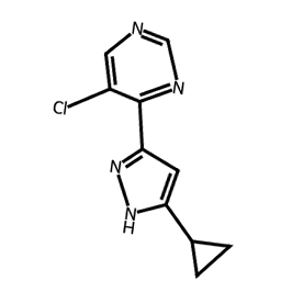 Clc1cncnc1-c1cc(C2CC2)[nH]n1